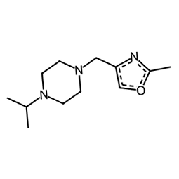 Cc1nc(CN2CCN(C(C)C)CC2)co1